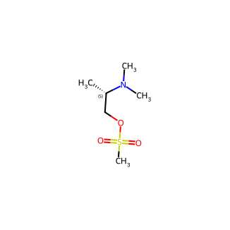 C[C@@H](COS(C)(=O)=O)N(C)C